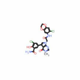 Cn1cnc2c(c(-c3cc(Cl)c(O)c(C(N)=O)c3)cn2CC(=O)Nc2cc3c(cc2Cl)OCCO3)c1=O